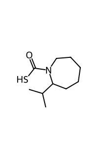 CC(C)C1CCCCCN1C(=O)S